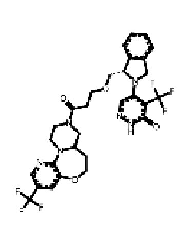 O=C(CCOC[C@@H]1c2ccccc2CN1c1cn[nH]c(=O)c1C(F)(F)F)N1CCN2c3ncc(C(F)(F)F)cc3OCCC2C1